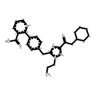 CCCn1nc(C(=O)CC2CCCCC2)nc1Cc1ccc(-c2ncccc2C(=O)O)cc1